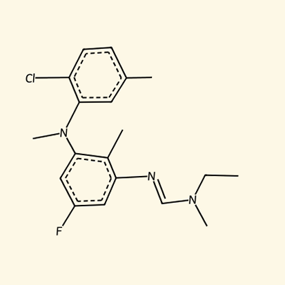 CCN(C)C=Nc1cc(F)cc(N(C)c2cc(C)ccc2Cl)c1C